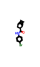 O=C(Nc1ccc(Br)cc1)C1CC2CCC1C21CC1